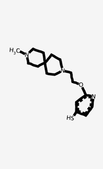 CN1CCC2(CC1)CCN(CCOc1cc(S)ccn1)CC2